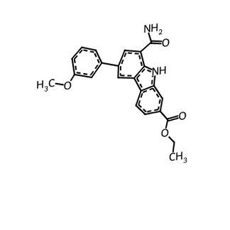 CCOC(=O)c1ccc2c(c1)[nH]c1c(C(N)=O)cc(-c3cccc(OC)c3)cc12